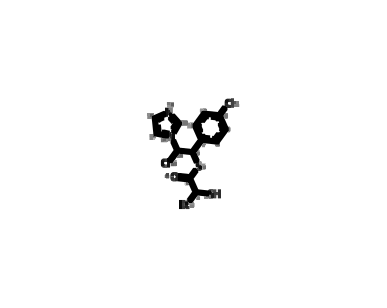 CCC(S)C(=O)SC(c1ccc(Cl)cc1)C(Cl)n1ccnc1